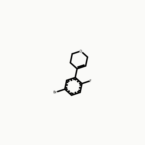 Fc1ccc(Br)cc1C1=CCOCC1